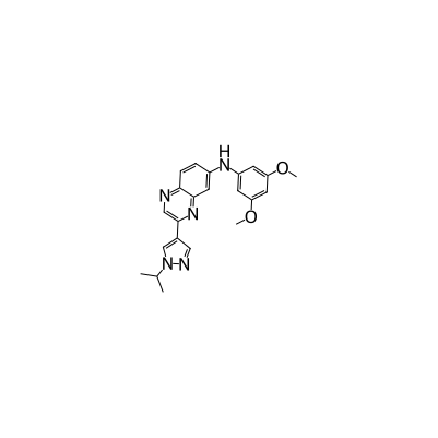 COc1cc(Nc2ccc3ncc(-c4cnn(C(C)C)c4)nc3c2)cc(OC)c1